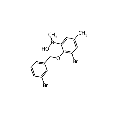 CB(O)c1cc(C)cc(Br)c1OCc1cccc(Br)c1